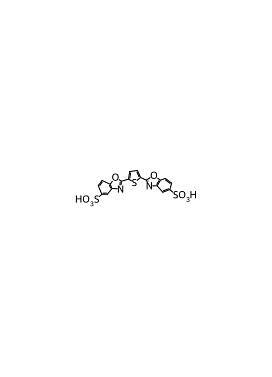 O=S(=O)(O)c1ccc2oc(-c3ccc(-c4nc5cc(S(=O)(=O)O)ccc5o4)s3)nc2c1